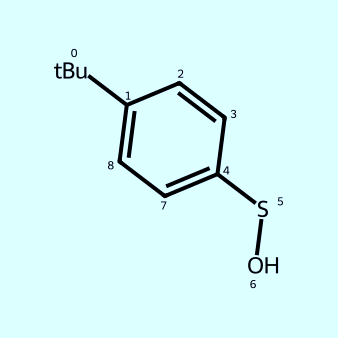 CC(C)(C)c1ccc(SO)cc1